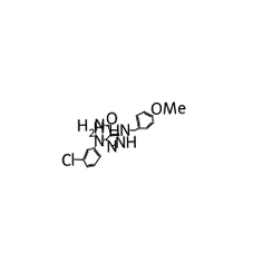 COc1ccc(CNc2[nH]nc(Nc3cccc(Cl)c3)c2C(N)=O)cc1